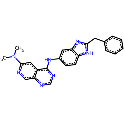 CN(C)c1cc2c(Nc3ccc4[nH]c(Cc5ccccc5)nc4c3)ncnc2cn1